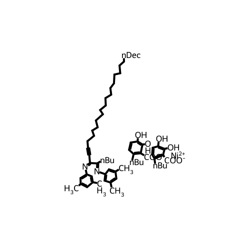 CCCCCCCCCCCCCCCCCCCCCCCCCCC#CC(=Nc1cc(C)cc(C)c1)C(CCCC)=Nc1cc(C)cc(C)c1.CCCCc1ccc(O)c(O)c1C(=O)[O-].CCCCc1ccc(O)c(O)c1C(=O)[O-].[Ni+2]